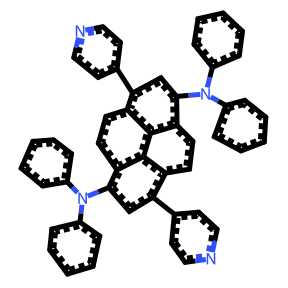 c1ccc(N(c2ccccc2)c2cc(-c3ccncc3)c3ccc4c(N(c5ccccc5)c5ccccc5)cc(-c5ccncc5)c5ccc2c3c54)cc1